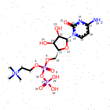 C[N+](C)(C)CCOP(=O)(OC[C@H]1O[C@@H](n2ccc(N)nc2=O)[C@H](O)[C@@H]1O)OP(=O)(O)O